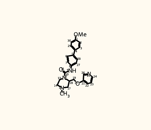 COc1ccc(-c2ccc(NC(=O)N3CCN(C)CC3COc3cccnc3)cc2)cc1